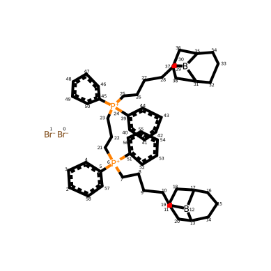 [Br-].[Br-].c1ccc([P+](CCCCCB2C3CCCC2CCC3)(CCC[P+](CCCCCB2C3CCCC2CCC3)(c2ccccc2)c2ccccc2)c2ccccc2)cc1